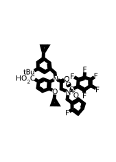 CC(C)(C)c1cc(CN(C(=O)CN(Cc2ccccc2F)S(=O)(=O)c2c(F)c(F)c(F)c(F)c2F)c2cc(C(=O)O)ccc2OC2CC2)cc(C2CC2)c1